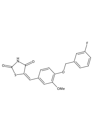 COc1cc(C=C2SC(=O)NC2=O)ccc1OCc1cccc(F)c1